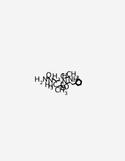 CCC(C)N[C@@H](Cc1ccccc1)C(=O)N[C@@H](CCCNC(N)=O)C(=O)C(C)C